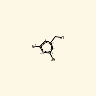 ClCc1cc(Br)nc(Br)c1